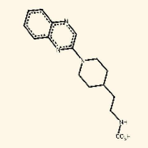 O=C(O)NCCC1CCN(c2cnc3ccccc3n2)CC1